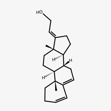 C[C@]12CCC=CC1=CC[C@@H]1[C@@H]2CC[C@]2(C)C(=CCO)CC[C@@H]12